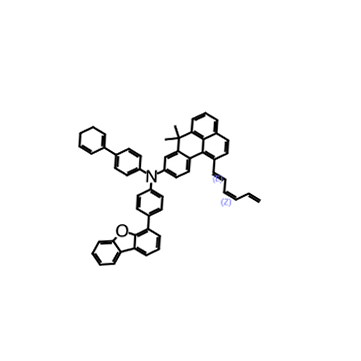 C=C/C=C\C=C\c1ccc2cccc3c2c1-c1ccc(N(c2ccc(C4=CCCC=C4)cc2)c2ccc(-c4cccc5c4oc4ccccc45)cc2)cc1C3(C)C